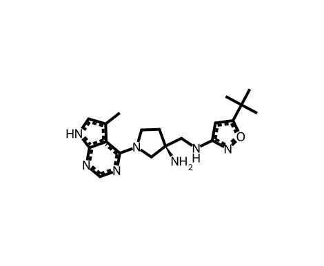 Cc1c[nH]c2ncnc(N3CC[C@](N)(CNc4cc(C(C)(C)C)on4)C3)c12